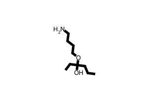 CCCC(O)(CC)OCCCCN